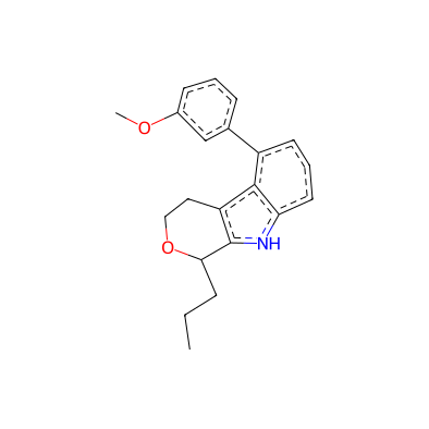 CCCC1OCCc2c1[nH]c1cccc(-c3cccc(OC)c3)c21